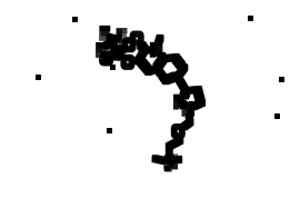 Cn1c(=O)c(OS(=O)(=O)C(F)(F)F)cc2cc(-c3ccn(COCC[Si](C)(C)C)n3)ccc21